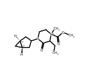 CCC1C(=O)N(C2C[C@@H]3C[C@H]3C2)CC[N+]1(C)C(=O)OC